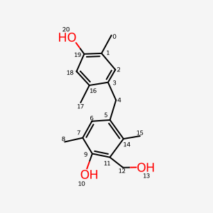 Cc1cc(Cc2cc(C)c(O)c(CO)c2C)c(C)cc1O